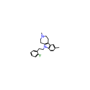 Cc1ccc2c(c1)c1c(n2CCc2ccccc2F)CCN(C)CC1